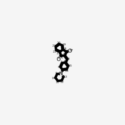 O=C1C(=Cc2ccc(N3CCCCC3)cc2)C(=O)c2ccccc21